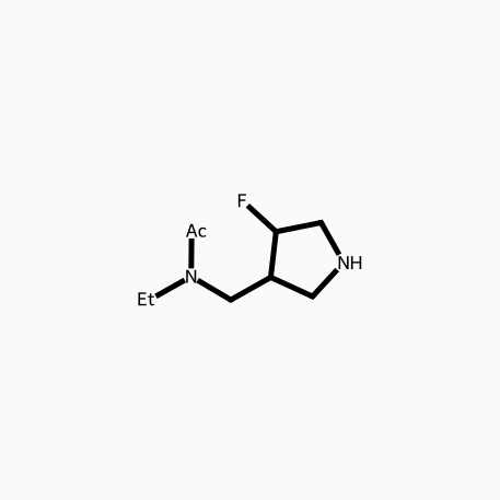 CCN(CC1CNCC1F)C(C)=O